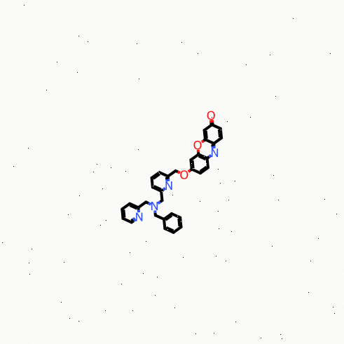 O=c1ccc2nc3ccc(OCc4cccc(CN(Cc5ccccc5)Cc5ccccn5)n4)cc3oc-2c1